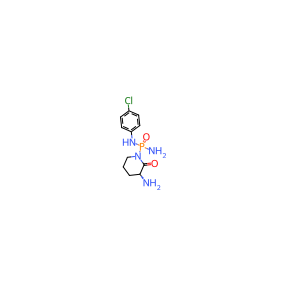 N[C@H]1CCCN(P(N)(=O)Nc2ccc(Cl)cc2)C1=O